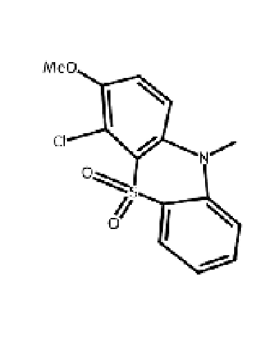 COc1ccc2c(c1Cl)S(=O)(=O)c1ccccc1N2C